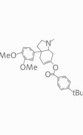 COc1ccc(C23CC=C(OC(=O)c4ccc(C(C)(C)C)cc4)CC2N(C)CC3)cc1OC